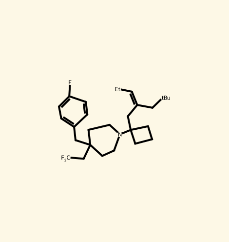 CC/C=C(/CC(C)(C)C)CC1(N2CCC(Cc3ccc(F)cc3)(CC(F)(F)F)CC2)CCC1